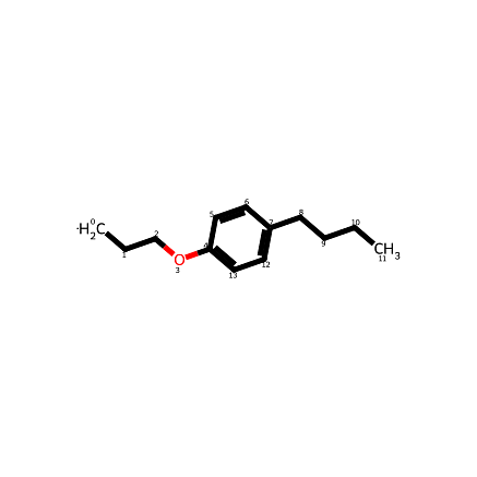 [CH2]CCOc1ccc(CCCC)cc1